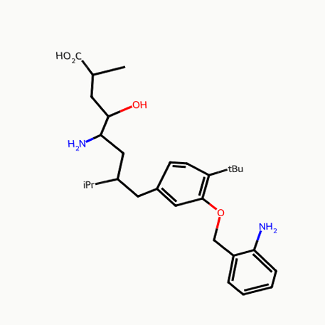 CC(CC(O)C(N)CC(Cc1ccc(C(C)(C)C)c(OCc2ccccc2N)c1)C(C)C)C(=O)O